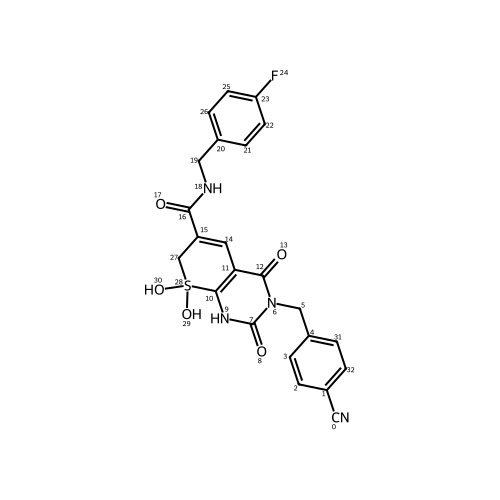 N#Cc1ccc(Cn2c(=O)[nH]c3c(c2=O)C=C(C(=O)NCc2ccc(F)cc2)CS3(O)O)cc1